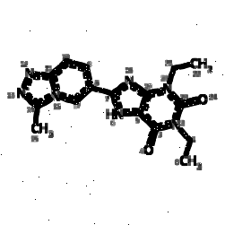 CCn1c(=O)c2[nH]c(-c3ccc4nnc(C)n4c3)nc2n(CC)c1=O